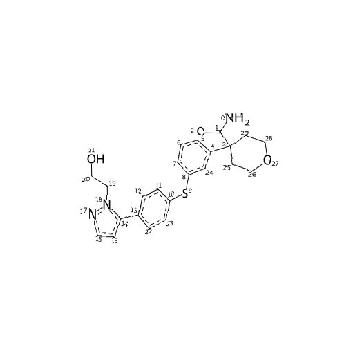 NC(=O)C1(c2cccc(Sc3ccc(-c4ccnn4CCO)cc3)c2)CCOCC1